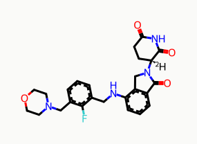 [2H][C@]1(N2Cc3c(NCc4cccc(CN5CCOCC5)c4F)cccc3C2=O)CCC(=O)NC1=O